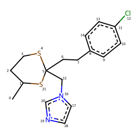 CC1CCSC(CCc2ccc(Cl)cc2)(Cn2ccnc2)S1